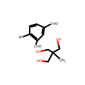 CC(C)c1ccc(C=O)cc1C=O.CC(CO)(CO)CO